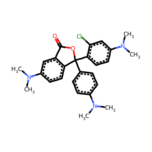 CN(C)c1ccc(C2(c3ccc(N(C)C)cc3Cl)OC(=O)c3cc(N(C)C)ccc32)cc1